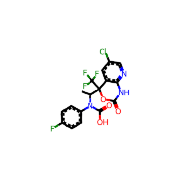 CC(N(C(=O)O)c1ccc(F)cc1)C1(C(F)(F)F)OC(=O)Nc2ncc(Cl)cc21